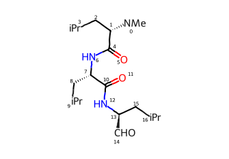 CN[C@@H](CC(C)C)C(=O)N[C@@H](CC(C)C)C(=O)N[C@H](C=O)CC(C)C